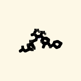 Cc1nc(/C(N)=C(\CNc2nnc(CC(C)C)o2)N(C)N)ccc1OC1CCCCC1